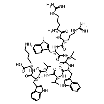 CC(C)[C@H](NC(=O)[C@H](Cc1c[nH]c2ccccc12)NC(=O)[C@H](CCCNC(=N)N)NC(=O)[C@@H](N)CCCNC(=N)N)C(=O)N[C@@H](Cc1c[nH]c2ccccc12)C(=O)N[C@H](C(=O)N[C@H](C(=O)N[C@@H](Cc1c[nH]c2ccccc12)C(=O)N[C@@H](CCCCN)C(=O)O)C(C)C)C(C)C